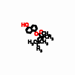 CC(C)(C)CC1(C(=O)Oc2cccc3c(O)cccc23)CC1(C)C